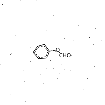 O=[C]Oc1c[c]ccc1